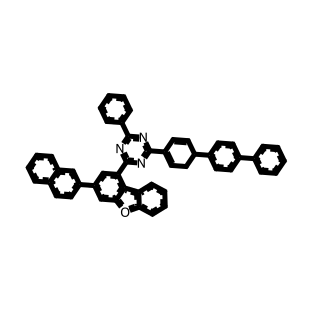 C1=CC(c2ccc(-c3ccccc3)cc2)CC=C1c1nc(-c2ccccc2)nc(-c2cc(-c3ccc4ccccc4c3)cc3oc4ccccc4c23)n1